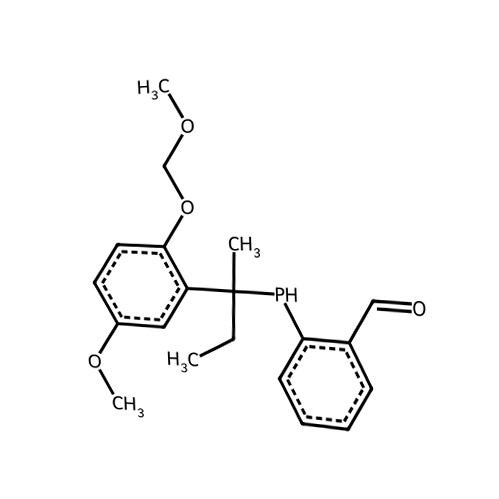 CCC(C)(Pc1ccccc1C=O)c1cc(OC)ccc1OCOC